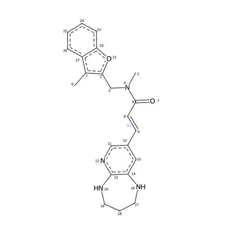 Cc1c(CN(C)C(=O)/C=C/c2cnc3c(c2)NCCCN3)oc2ccccc12